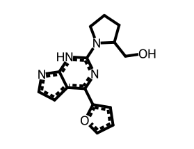 OCC1CCCN1c1nc(-c2ccco2)c2ccnc-2[nH]1